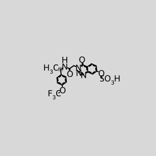 C[C@H](NC(=O)Cn1nnc2cc(OS(=O)(=O)O)ccc2c1=O)c1ccc(OC(F)(F)F)cc1